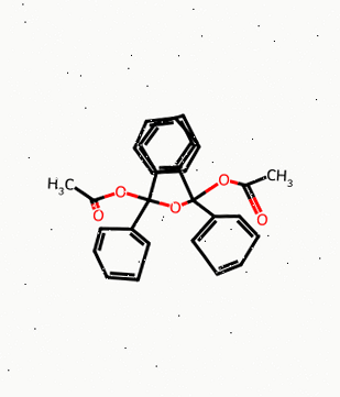 CC(=O)OC(OC(OC(C)=O)(c1ccccc1)c1ccccc1)(c1ccccc1)c1ccccc1